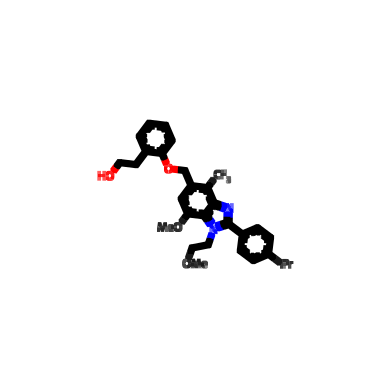 COCCn1c(-c2ccc(C(C)C)cc2)nc2c(C(F)(F)F)c(COc3ccccc3CCO)cc(OC)c21